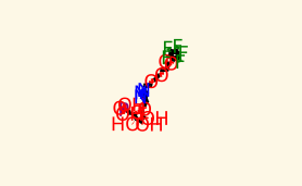 O=C(CCOCCOCCn1cc(CCO[C@H]2O[C@H](CCP(=O)(O)O)[C@@H](O)[C@H](O)[C@@H]2O)nn1)Oc1c(F)c(F)c(F)c(F)c1F